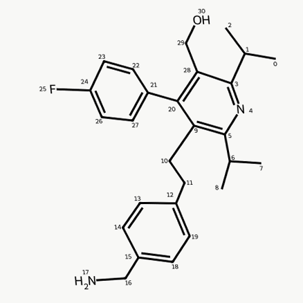 CC(C)c1nc(C(C)C)c(CCc2ccc(CN)cc2)c(-c2ccc(F)cc2)c1CO